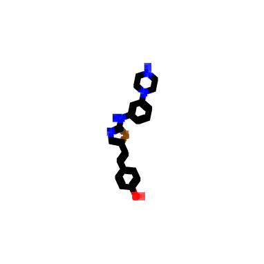 Oc1ccc(C=Cc2cnc(Nc3cccc(N4CCNCC4)c3)s2)cc1